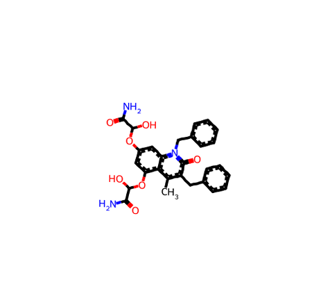 Cc1c(Cc2ccccc2)c(=O)n(Cc2ccccc2)c2cc(OC(O)C(N)=O)cc(OC(O)C(N)=O)c12